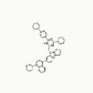 C=C/C(=C\c1oc2ccccc2c1CC1N=C(c2ccccc2)N=C(c2ccc(-c3ccccc3)cc2)N1)c1ccc(-c2ccccc2)c2ccccc12